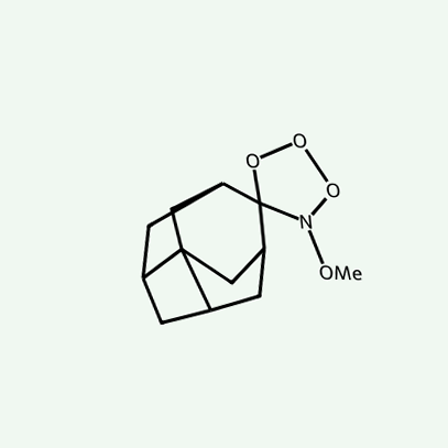 CON1OOOC12C1CC3CC4CC2CC34C1